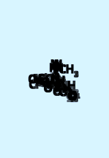 Cn1nnnc1SCC1(C)S[C@@H]2C(NC(=O)Cc3ccccc3)C(=O)N2C1C(=O)OCC(Cl)(Cl)Cl